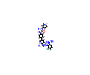 N=N/N=C(\Nc1cccc(F)c1F)c1cc(-c2ccc(NC(=O)Nc3cccnc3)cc2)cnc1N